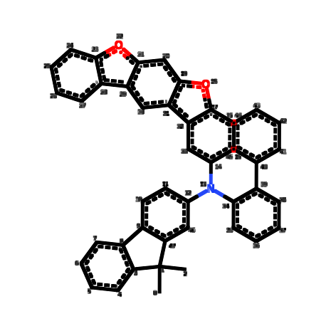 CC1(C)c2ccccc2-c2ccc(N(c3ccc4oc5cc6oc7ccccc7c6cc5c4c3)c3ccccc3-c3ccccc3)cc21